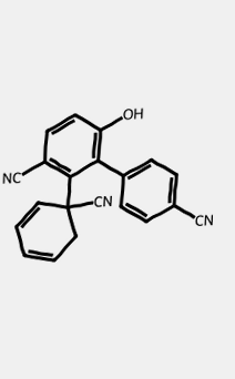 N#Cc1ccc(-c2c(O)ccc(C#N)c2C2(C#N)C=CC=CC2)cc1